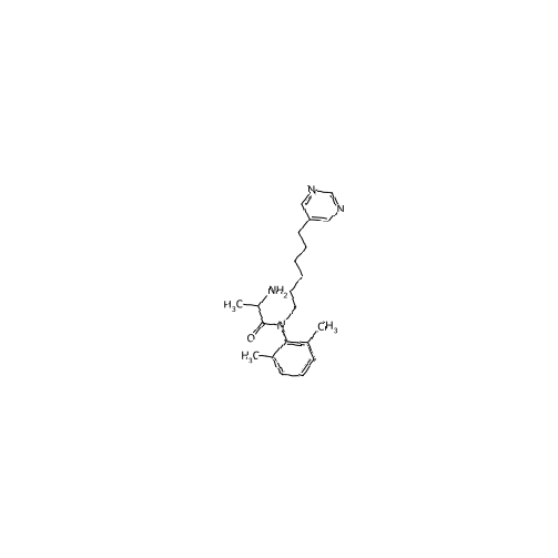 Cc1cccc(C)c1N(CCCCCCc1cncnc1)C(=O)C(C)N